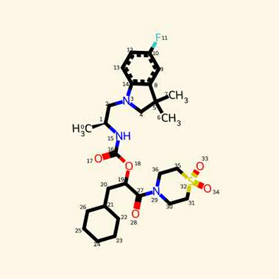 C[C@@H](CN1CC(C)(C)c2cc(F)ccc21)NC(=O)OC(CC1CCCCC1)C(=O)N1CCS(=O)(=O)CC1